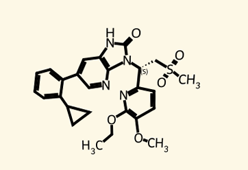 CCOc1nc([C@@H](CS(C)(=O)=O)n2c(=O)[nH]c3cc(-c4ccccc4C4CC4)cnc32)ccc1OC